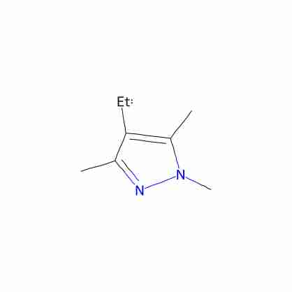 C[C]c1c(C)nn(C)c1C